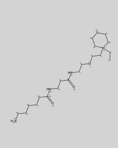 CC[N+]1(CCOCCNC(=O)CCNC(=O)CCCCCN)CCOCC1